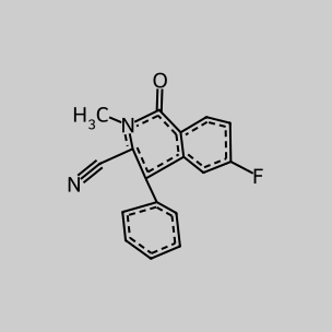 Cn1c(C#N)c(-c2ccccc2)c2cc(F)ccc2c1=O